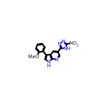 COc1ccccc1-c1c[nH]c2ncc(-c3nnc([N+](=O)[O-])[nH]3)cc12